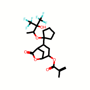 C=C(C)C(=O)OC1CC(C2(OC(C)C(O)(C(F)(F)F)C(F)(F)F)CCCC2)C2CC1OC2=O